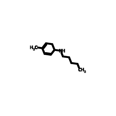 CCCCCNC1C=CC(C)=CC1